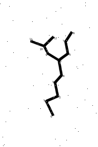 CCCCCC(CCC)C[C](C)C